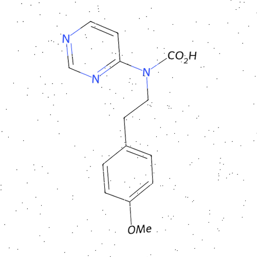 COc1ccc(CCN(C(=O)O)c2ccncn2)cc1